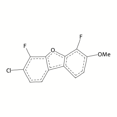 COc1ccc2c(oc3c(F)c(Cl)ccc32)c1F